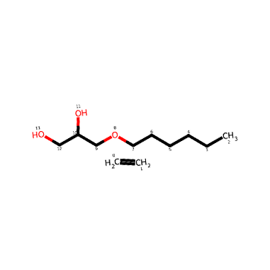 C=C.CCCCCCOCC(O)CO